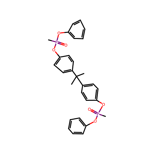 CC(C)(c1ccc(OP(C)(=O)Oc2ccccc2)cc1)c1ccc(OP(C)(=O)Oc2ccccc2)cc1